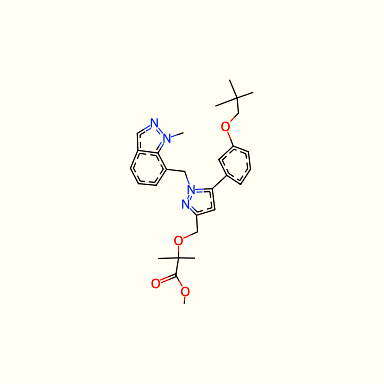 COC(=O)C(C)(C)OCc1cc(-c2cccc(OCC(C)(C)C)c2)n(Cc2cccc3cnn(C)c23)n1